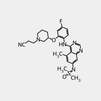 Cc1cc(N=S(C)(C)=O)cc2ncnc(Nc3ccc(F)cc3O[C@@H]3CCCN(CCC#N)C3)c12